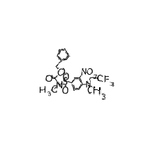 CN(CC(F)(F)F)c1ccc(S(=O)(=O)N(C)C(=O)OCc2ccccc2)cc1[N+](=O)[O-]